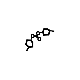 C[C@H]1CC[C@H](OC(=O)O[C@H]2CC[C@H](C)CC2)CC1